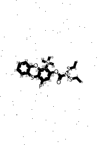 CCSN(SCC)C(=O)Oc1cc(F)c2c(c1[Si](C)(C)C)Oc1ccccc1S2